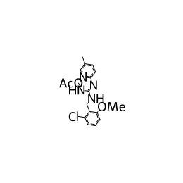 COc1cccc(Cl)c1CNC(=Nc1ccc(C)cn1)NOC(C)=O